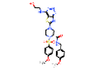 O=C(NCc1ccc(OC(F)(F)F)cc1)[C@H]1CN(c2nc3nnnc(NCCO)c3s2)CCN1S(=O)(=O)c1ccc(OC(F)(F)F)cc1